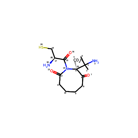 CC(C)(N)[C@@]1(C(=O)O)C(=O)CCCCC(=O)N1C(=O)[C@@H](N)CS